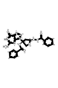 Nc1nc2c(nnn2[C@@]2(OC(=O)c3ccccc3)CO[C@H](COC(=O)c3ccccc3)C2)c(=O)[nH]1